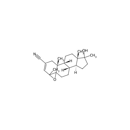 CC12C=C(C#N)C[C@]3(C)[C@@H]4CC[C@@]5(C)[C@@H](CCC5(C)O)[C@@H]4CCC13O2